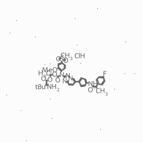 COc1cc(S(C)(=O)=O)ccc1N(C(=O)O[C@@H](C)OC(=O)[C@@H](N)C(C)(C)C)c1nc2ccc(-c3ccc(NC(=O)[C@H](C)c4ccc(F)cc4)cc3)cn2n1.Cl